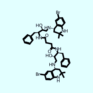 CC1(C)C[C@H](NC[C@H](O)[C@H](Cc2ccccc2)NC(=O)CCC(=O)N[C@@H](Cc2ccccc2)[C@@H](O)CN[C@@H]2CC(C)(C)Nc3ccc(Br)cc32)c2cc(Br)ccc2N1